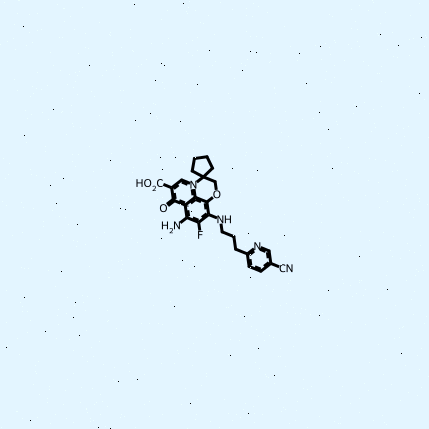 N#Cc1ccc(CCCNc2c(F)c(N)c3c(=O)c(C(=O)O)cn4c3c2OCC42CCCC2)nc1